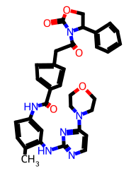 Cc1ccc(NC(=O)c2ccc(CC(=O)N3C(=O)OCC3c3ccccc3)cc2)cc1Nc1nccc(N2CCOCC2)n1